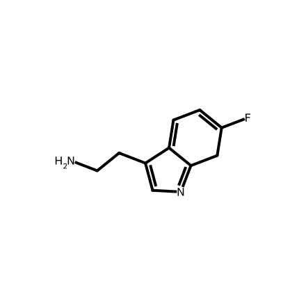 NCCC1=CN=C2CC(F)=CC=C12